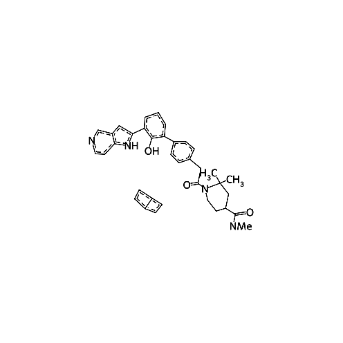 CNC(=O)C1CCN(C(=O)Cc2ccc(-c3cccc(-c4cc5cnccc5[nH]4)c3O)cc2)C(C)(C)C1.c1cc2ccc1-2